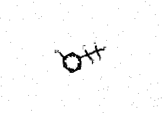 FC(F)(F)C(F)(F)c1cccc(Br)c1